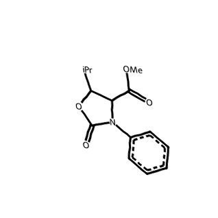 COC(=O)C1C(C(C)C)OC(=O)N1c1ccccc1